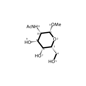 CO[C@@H]1O[C@H](CO)[C@H](O)[C@H](O)[C@@H]1NC(C)=O